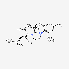 C=C(C)/C(=C(/C)C=C(C)C)N1CCN(c2c(C)cc(C)cc2C)C1C